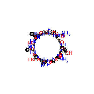 CCCC[C@H]1C(=O)N(C)[C@@H](CCCC)C(=O)N[C@@H](C)C(=O)N[C@H](C(=O)NCC(N)=O)CSCC(=O)N[C@@H](Cc2ccc(O)cc2)C(=O)N(C)[C@@H](C)C(=O)N[C@@H](CC(N)=O)C(=O)N2CCC[C@H]2C(=O)N[C@@H](Cc2cnc[nH]2)C(=O)N[C@@H](CC(C)C)C(=O)N2C[C@H](O)C[C@H]2C(=O)N[C@@H](Cc2c[nH]c3ccccc23)C(=O)N[C@@H](CO)C(=O)N[C@@H](Cc2c[nH]c3ccccc23)C(=O)N1C